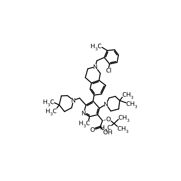 Cc1cccc(Cl)c1CN1CCc2cc(-c3c(CN4CCC(C)(C)CC4)nc(C)c([C@H](OC(C)(C)C)C(=O)O)c3N3CCC(C)(C)CC3)ccc2C1